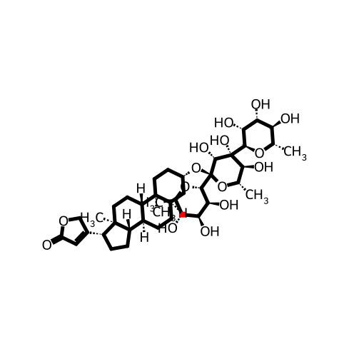 C[C@@H]1O[C@@H]([C@@]2(O)[C@@H](O)[C@H](C)O[C@](O[C@H]3CC[C@@]4(C)[C@H](CC[C@@H]5[C@@H]4CC[C@]4(C)[C@@H](C6=CC(=O)OC6)CC[C@@H]54)C3)([C@H]3O[C@H](C)[C@@H](O)[C@H](O)[C@@H]3O)[C@@H]2O)[C@H](O)[C@H](O)[C@H]1O